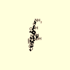 CCOC(=O)Cn1cc(-c2cnc3c(Nc4ccc(C(=O)NCCOCCN)c(CC)c4)nccn23)c(C(F)(F)F)n1.O=CO